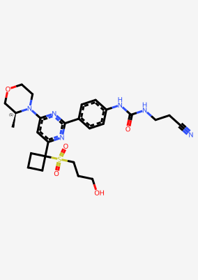 C[C@H]1COCCN1c1cc(C2(S(=O)(=O)CCCO)CCC2)nc(-c2ccc(NC(=O)NCCC#N)cc2)n1